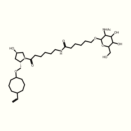 C=CC1CCCC(OC[C@@H]2C[C@@H](O)CN2C(=O)CCCCCNC(=O)CCCCCOC2OC(CO)C(O)C(O)C2NC(C)=O)CCC1